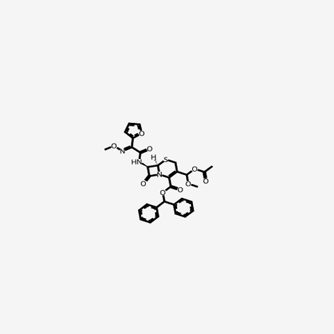 CON=C(C(=O)N[C@@H]1C(=O)N2C(C(=O)OC(c3ccccc3)c3ccccc3)=C(C(OC)OC(C)=O)CS[C@H]12)c1ccco1